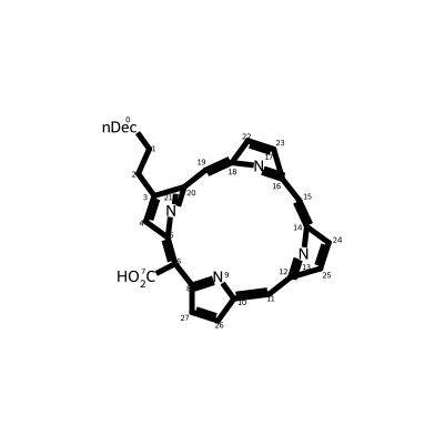 CCCCCCCCCCCCC1=CC2=C(C(=O)O)C3=NC(=CC4=NC(=CC5=NC(=CC1=N2)C=C5)C=C4)C=C3